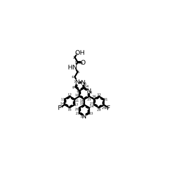 O=C(CO)NCCn1cc2c(-c3ccc(F)cc3)c(-c3ccncc3)c(-c3ccc(F)cc3)nc2n1